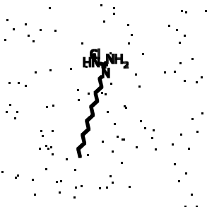 CCCCCCCCCCCCN=C(N)NCl